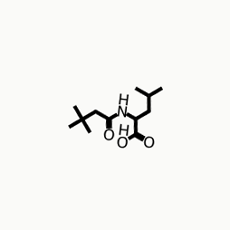 CC(C)CC(NC(=O)CC(C)(C)C)C(=O)O